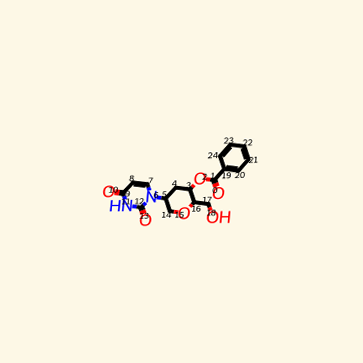 O=C(OC1CC(n2ccc(=O)[nH]c2=O)COC1CO)c1ccccc1